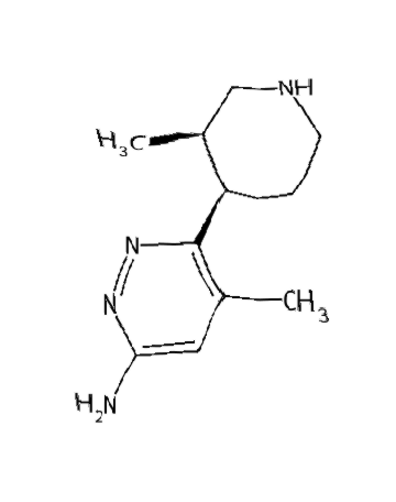 Cc1cc(N)nnc1[C@@H]1CCNC[C@@H]1C